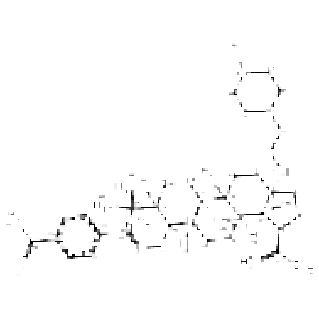 C=C(C)[C@@H]1CC[C@]2(NCCN3CCN(C)CC3)CC[C@]3(C)[C@H](CC[C@@H]4[C@@]5(C)CC=C(c6ccc(C(=O)O)cc6)C(C)(C)[C@@H]5CC[C@]43C)[C@@H]12